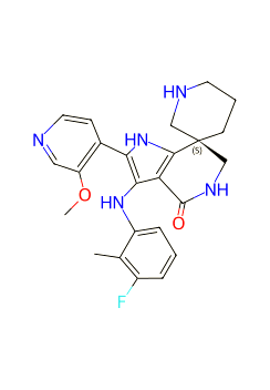 COc1cnccc1-c1[nH]c2c(c1Nc1cccc(F)c1C)C(=O)NC[C@@]21CCCNC1